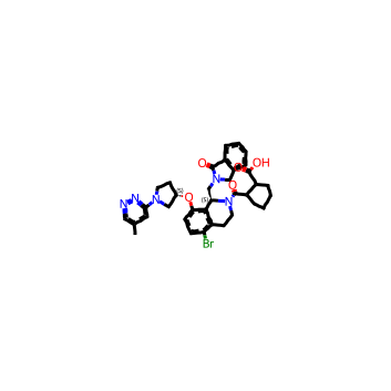 Cc1cnnc(N2CC[C@H](Oc3ccc(Br)c4c3[C@@H](CN3Cc5ccccc5C3=O)N(C(=O)C3CCCCC3C(=O)O)CC4)C2)c1